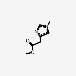 COC(=O)Cc1cn(C)cn1